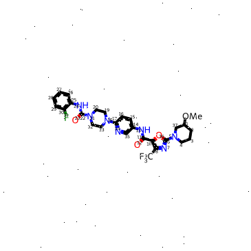 COC1CCCN(c2nc(C(F)(F)F)c(C(=O)Nc3ccc(N4CCN(C(=O)Nc5ccccc5F)CC4)nc3)o2)C1